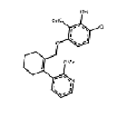 COc1ncccc1C1=C(COc2ccc(Cl)c(O)c2C=O)CCCC1